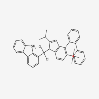 CC(C)C1=Cc2c(ccc(C(C)(C)C)c2-c2ccccc2-c2ccccc2)[CH]1[Zr]([Cl])([Cl])[c]1cccc2c1[SiH2]c1ccccc1-2